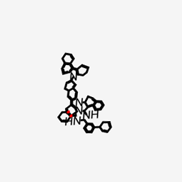 C1=CCC(c2cccc(C3NC(C4=CCCC=C4)=NC(C4=c5ccccc5=CCC4n4c5c(c6c4=CC4=CC(n7c8c(c9c%10c(ccc97)CCC=C%10)C=CCC8)=CCC4C=6)C=CCC5)N3)c2)C=C1